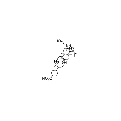 C=C(C)[C@@H]1CC[C@]2(NCCO)CC[C@]3(C)[C@H](CC[C@@H]4[C@@]5(C)CC=C(C6=CC[C@@H](C(=O)O)CC6)C(C)(C)[C@@H]5CC[C@]43C)[C@@H]12